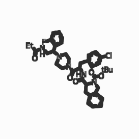 CCC(=O)NCC(c1ccccc1F)N1CCN(C(=O)C(Cc2ccc(Cl)cc2)NC(=O)C2Cc3ccccc3CN2C(=O)OC(C)(C)C)CC1